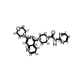 O=C(Nc1ncccn1)N1CCN(c2nc(N3CCOCC3)cc3ncccc23)CC1